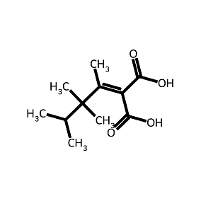 CC(=C(C(=O)O)C(=O)O)C(C)(C)C(C)C